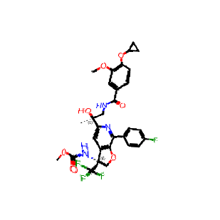 COC(=O)N[C@@]1(C(F)(F)F)COc2c1cc([C@@](C)(O)CNC(=O)c1ccc(OC3CC3)c(OC)c1)nc2-c1ccc(F)cc1